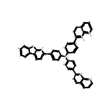 c1cnc2nc(-c3ccc(N(c4ccc(-c5ccc6cccnc6n5)cc4)c4ccc(-c5ccc6c(n5)sc5ccccc56)cc4)cc3)ccc2c1